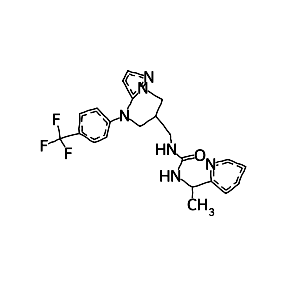 CC(NC(=O)NCC1CN(c2ccc(C(F)(F)F)cc2)c2ccnn2C1)c1ccccn1